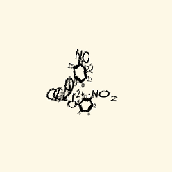 O=[N+]([O-])c1cccc([O][Zr+2][O]c2cccc([N+](=O)[O-])c2)c1.[Cl-].[Cl-]